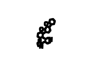 c1ccc2c(c1)oc1c2ccc2c1oc1ccc3c(c4cnccc4c4nccn34)c12